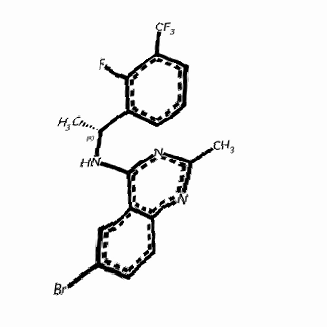 Cc1nc(N[C@H](C)c2cccc(C(F)(F)F)c2F)c2cc(Br)ccc2n1